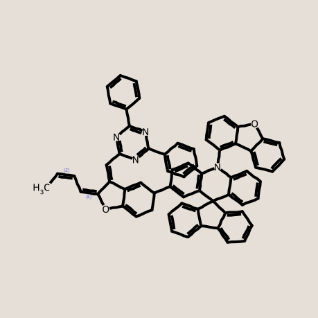 C/C=C\C=c1\oc2c(c1=Cc1nc(-c3ccccc3)nc(-c3ccccc3)n1)=CC(c1ccc3c(c1)C1(c4ccccc4-c4ccccc41)c1ccccc1N3c1cccc3oc4ccccc4c13)CC=2